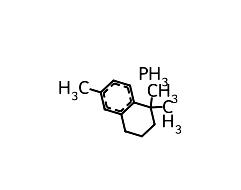 Cc1ccc2c(c1)CCCC2(C)C.P